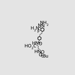 CC(C)(C)OC(=O)NCCC[C@H](NC(=O)c1ccc(CCc2ccc3nc(N)nc(N)c3c2F)cc1)C(=O)O